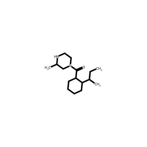 CCC(C)C1CCCCC1C(=O)N1CCNC(C)C1